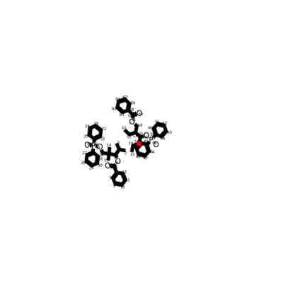 CC(C)C(OC(=O)c1ccccc1)C(C)(C)COP(=O)(c1ccccc1)c1ccccc1.CCCC(OP(=O)(c1ccccc1)c1ccccc1)C(CC)COC(=O)c1ccccc1